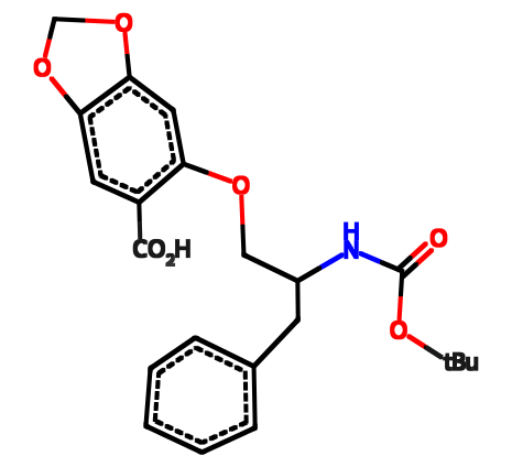 CC(C)(C)OC(=O)NC(COc1cc2c(cc1C(=O)O)OCO2)Cc1ccccc1